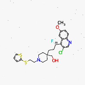 COc1ccc2ncc(Cl)c([C@@H](F)CCC3(CO)CCN(CCSc4cccs4)CC3)c2c1